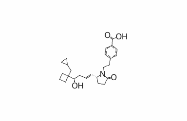 O=C(O)c1ccc(CCN2C(=O)CC[C@@H]2C=CC[C@@H](O)C2(CC3CC3)CCC2)cc1